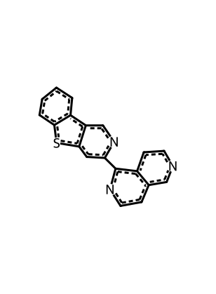 c1ccc2c(c1)sc1cc(-c3nccc4cnccc34)ncc12